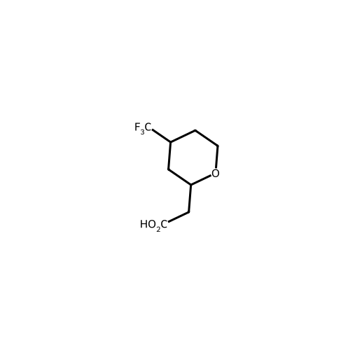 O=C(O)CC1CC(C(F)(F)F)CCO1